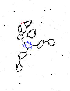 C1=CC(c2ccc(-c3nc(-c4ccc(-c5ccccc5)cc4)nc(-c4cccc5c4-c4ccccc4C54c5ccccc5Oc5ccccc54)n3)cc2)=CCC1